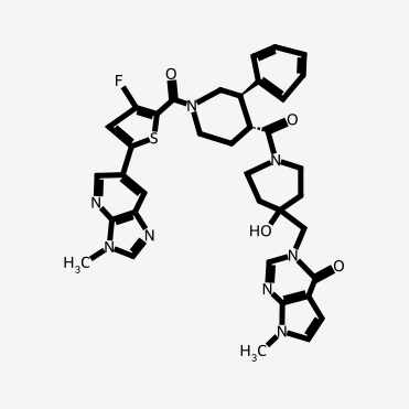 Cn1cnc2cc(-c3cc(F)c(C(=O)N4CC[C@@H](C(=O)N5CCC(O)(Cn6cnc7c(ccn7C)c6=O)CC5)[C@H](c5ccccc5)C4)s3)cnc21